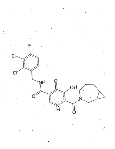 O=C(NCc1ccc(F)c(Cl)c1Cl)c1c[nH]c(C(=O)N2CCCC3CC3C2)c(O)c1=O